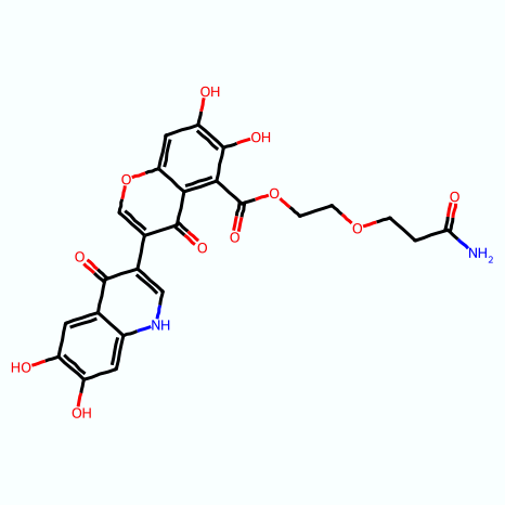 NC(=O)CCOCCOC(=O)c1c(O)c(O)cc2occ(-c3c[nH]c4cc(O)c(O)cc4c3=O)c(=O)c12